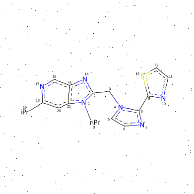 CCCn1c(Cn2ccnc2-c2nccs2)nc2cnc(C(C)C)cc21